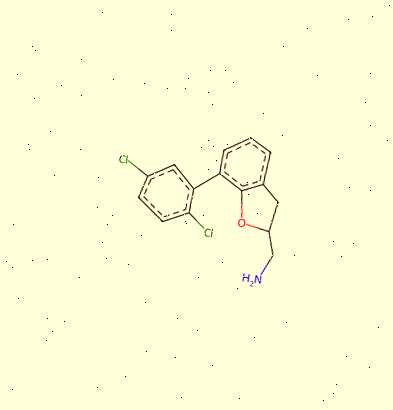 NCC1Cc2cccc(-c3cc(Cl)ccc3Cl)c2O1